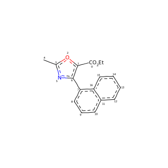 CCOC(=O)c1oc(C)nc1-c1cccc2ccccc12